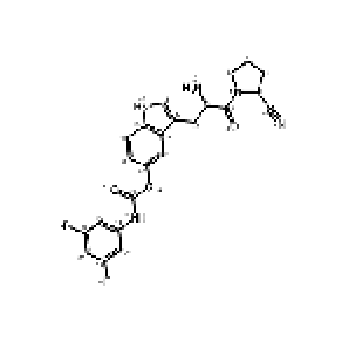 N#CC1CCCN1C(=O)C(N)Cc1c[nH]c2ccc(OC(=O)Nc3cc(F)cc(F)c3)cc12